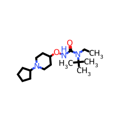 CCN(C(=O)NOC1CCN(C2CCCC2)CC1)C(C)(C)C